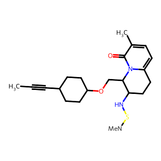 CC#CC1CCC(OCC2C(NSNC)CCc3ccc(C)c(=O)n32)CC1